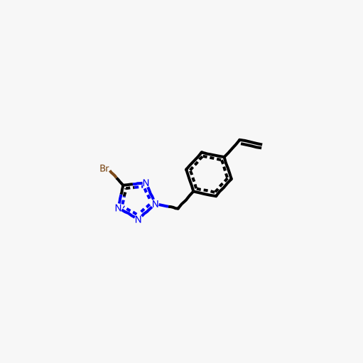 C=Cc1ccc(Cn2nnc(Br)n2)cc1